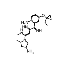 CCC1(Oc2ccc(N)c(C(=N)C(=N)/C=C(\NC)N3CC(N)CC3C)c2)CC1